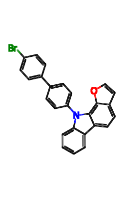 Brc1ccc(-c2ccc(-n3c4ccccc4c4ccc5ccoc5c43)cc2)cc1